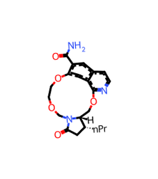 CCC[C@@H]1CC(=O)N2COCCOc3cc4c(nccc4cc3C(N)=O)OC[C@H]12